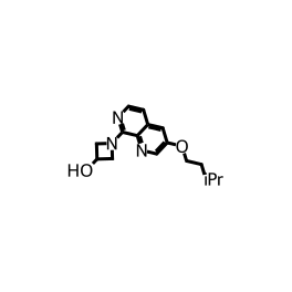 CC(C)CCOc1cnc2c(N3CC(O)C3)nccc2c1